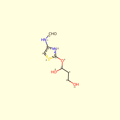 O=CNc1csc(OC(O)CCO)n1